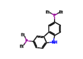 CCP(CC)c1ccc2[nH]c3ccc(P(CC)CC)cc3c2c1